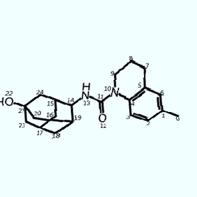 Cc1ccc2c(c1)CCCN2C(=O)NC1C2CC3CC1CC(O)(C3)C2